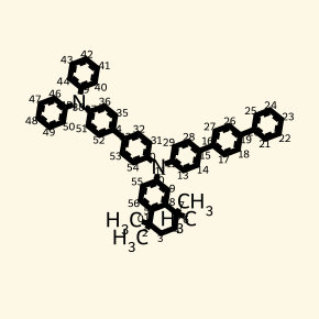 CC1(C)CCC(C)(C)c2cc(N(c3ccc(-c4ccc(-c5ccccc5)cc4)cc3)c3ccc(-c4ccc(N(c5ccccc5)c5ccccc5)cc4)cc3)ccc21